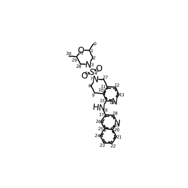 CC1CN(S(=O)(=O)N2CCc3c(ccnc3Nc3cnc4ccccc4c3)C2)CC(C)O1